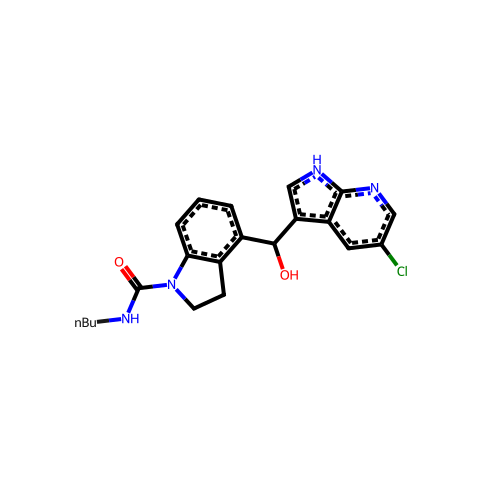 CCCCNC(=O)N1CCc2c(C(O)c3c[nH]c4ncc(Cl)cc34)cccc21